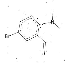 C=Cc1cc(Br)ccc1N(C)C